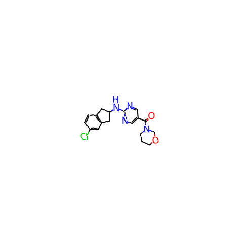 O=C(c1cnc(NC2Cc3ccc(Cl)cc3C2)nc1)N1CCCOC1